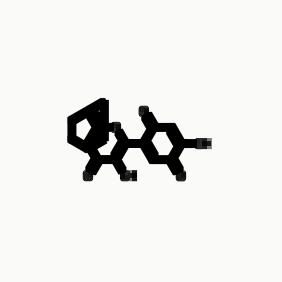 O=C1C=C(c2oc(C34CCCC5C3C54)cc(=O)c2O)C(=O)C=C1O